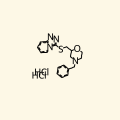 Cl.Cl.c1ccc(CN2CCOC(CSc3nnc4ccccn34)C2)cc1